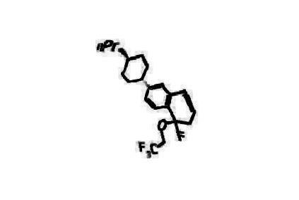 CCC[C@H]1CC[C@H](c2ccc3c(c2)C=CCC3(F)OCC(F)(F)F)CC1